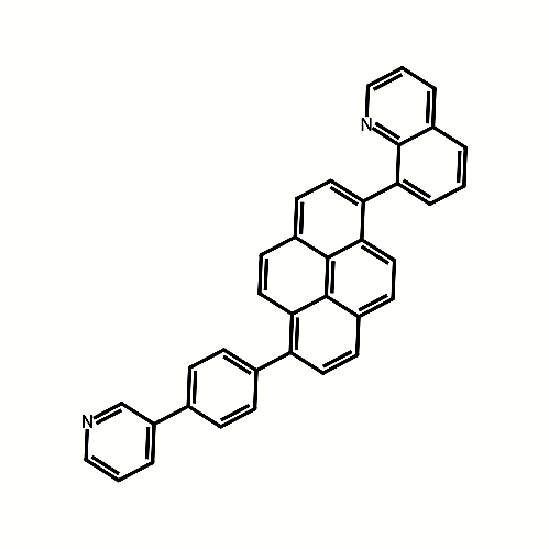 c1cncc(-c2ccc(-c3ccc4ccc5c(-c6cccc7cccnc67)ccc6ccc3c4c65)cc2)c1